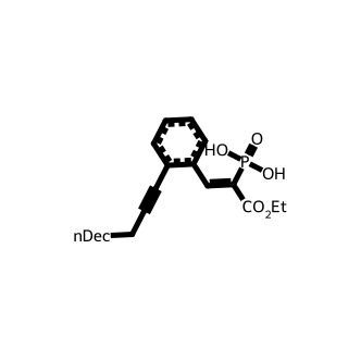 CCCCCCCCCCCC#Cc1ccccc1C=C(C(=O)OCC)P(=O)(O)O